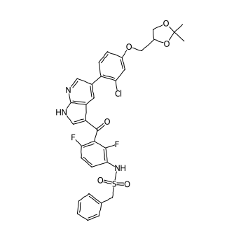 CC1(C)OCC(COc2ccc(-c3cnc4[nH]cc(C(=O)c5c(F)ccc(NS(=O)(=O)Cc6ccccc6)c5F)c4c3)c(Cl)c2)O1